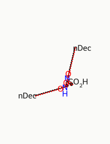 CCCCCCCCCCCCCCCCCCCCCCCCCCCCCCCCOCCC/N=c1\ccc2c(-c3ccccc3C(=O)O)c3ccc(NCCCOCCCCCCCCCCCCCCCCCCCCCCCCCCCCCCCC)cc3oc-2c1